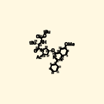 COc1ccc2nc(-c3ccccc3)nc(O[C@@H]3CC(C(C)=O)N(C(=O)[C@@H](NC(=O)OC(C)(C)C)C(C)(C)C)C3)c2c1